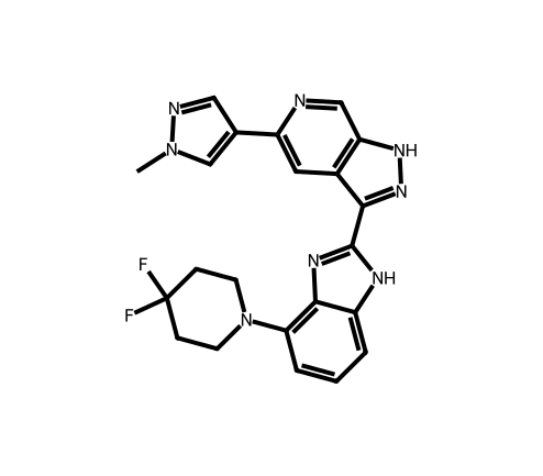 Cn1cc(-c2cc3c(-c4nc5c(N6CCC(F)(F)CC6)cccc5[nH]4)n[nH]c3cn2)cn1